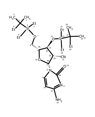 CCC(C)(C)[Si](CC)(CC)OC[C@H]1O[C@@H](n2ccc(N)nc2=O)[C@@H](C#N)[C@@H]1O[Si](CC)(CC)C(C)(C)CC